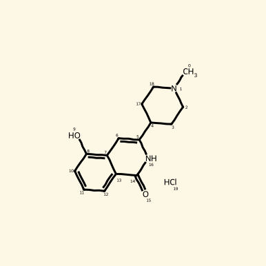 CN1CCC(c2cc3c(O)cccc3c(=O)[nH]2)CC1.Cl